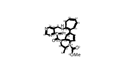 COC(=O)N1c2ccc(C3=C(NCc4cncnc4)CC=CC=C3)cc2N(C(=O)OC(C)C)CC1C